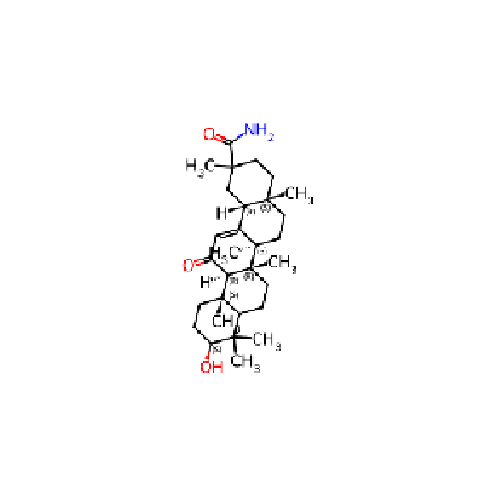 CC1(C(N)=O)CC[C@]2(C)CC[C@]3(C)C(=CC(=O)[C@@H]4[C@@]5(C)CC[C@H](O)C(C)(C)C5CC[C@]43C)[C@@H]2C1